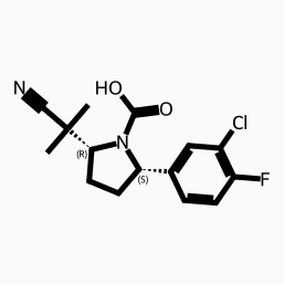 CC(C)(C#N)[C@H]1CC[C@@H](c2ccc(F)c(Cl)c2)N1C(=O)O